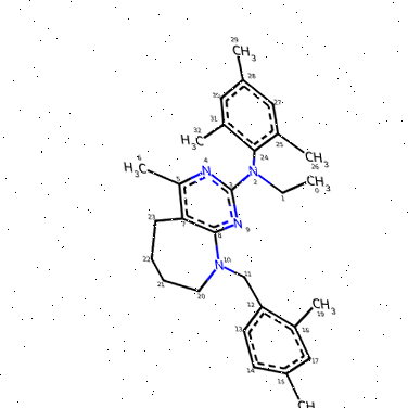 CCN(c1nc(C)c2c(n1)N(Cc1ccc(C)cc1C)CCCC2)c1c(C)cc(C)cc1C